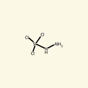 [AlH2][NH][Si](Cl)(Cl)Cl